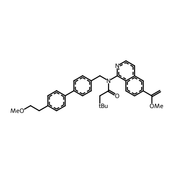 C=C(OC)c1ccc2c(N(Cc3ccc(-c4ccc(CCOC)cc4)cc3)C(=O)CC(C)(C)C)nccc2c1